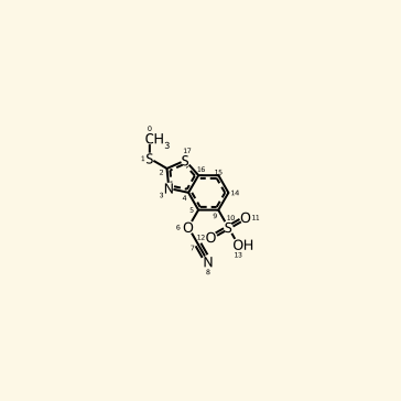 CSc1nc2c(OC#N)c(S(=O)(=O)O)ccc2s1